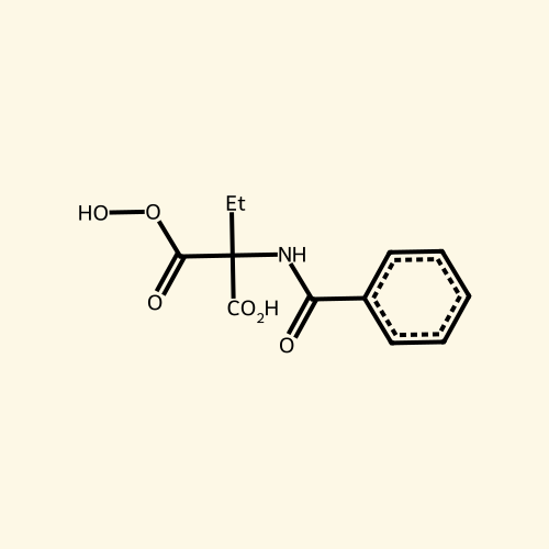 CCC(NC(=O)c1ccccc1)(C(=O)O)C(=O)OO